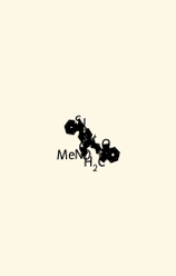 C=C1C2CCCCC2C(=O)N1CCCC[N+]1(COC(=O)NC)CCN(c2nsc3ccccc23)CC1